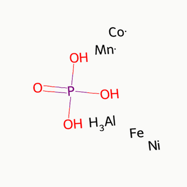 O=P(O)(O)O.[AlH3].[Co].[Fe].[Mn].[Ni]